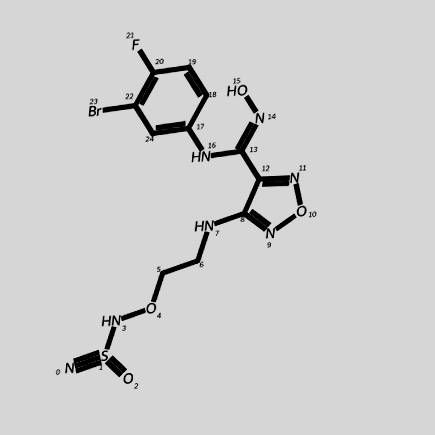 N#S(=O)NOCCNc1nonc1/C(=N/O)Nc1ccc(F)c(Br)c1